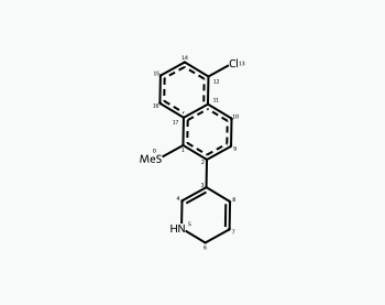 CSc1c(C2=CNCC=C2)ccc2c(Cl)cccc12